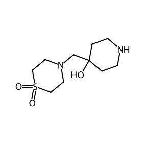 O=S1(=O)CCN(CC2(O)CCNCC2)CC1